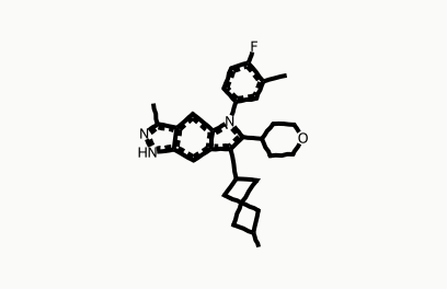 Cc1cc(-n2c(C3CCOCC3)c(C3CC4(CC(C)C4)C3)c3cc4[nH]nc(C)c4cc32)ccc1F